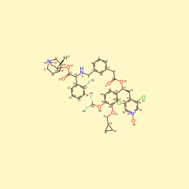 O=C(Cc1cccc(CNC(C(=O)O[C@H]2CN3CCC2CC3)c2ccccc2F)c1)O[C@@H](Cc1c(Cl)c[n+]([O-])cc1Cl)c1ccc(OC(F)F)c(OCC2CC2)c1